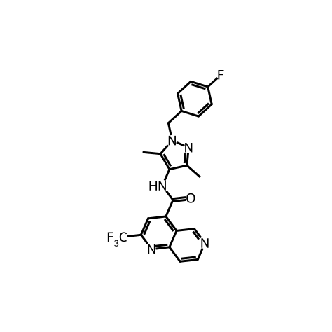 Cc1nn(Cc2ccc(F)cc2)c(C)c1NC(=O)c1cc(C(F)(F)F)nc2ccncc12